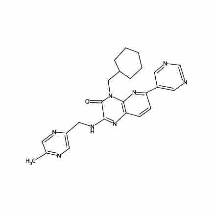 Cc1cnc(CNc2nc3ccc(-c4cncnc4)nc3n(CC3CCCCC3)c2=O)cn1